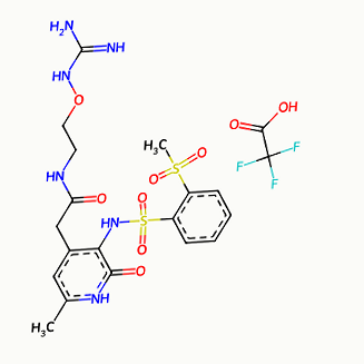 Cc1cc(CC(=O)NCCONC(=N)N)c(NS(=O)(=O)c2ccccc2S(C)(=O)=O)c(=O)[nH]1.O=C(O)C(F)(F)F